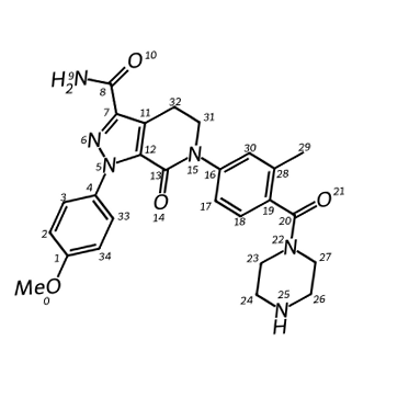 COc1ccc(-n2nc(C(N)=O)c3c2C(=O)N(c2ccc(C(=O)N4CCNCC4)c(C)c2)CC3)cc1